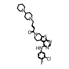 O=C(/C=C/CN1CCC(N2CCCCC2)CC1)N1CCc2c(sc3ncnc(Nc4ccc(F)c(Cl)c4)c23)C1